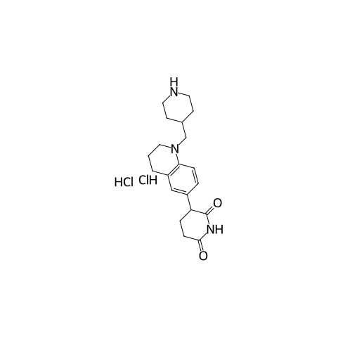 Cl.Cl.O=C1CCC(c2ccc3c(c2)CCCN3CC2CCNCC2)C(=O)N1